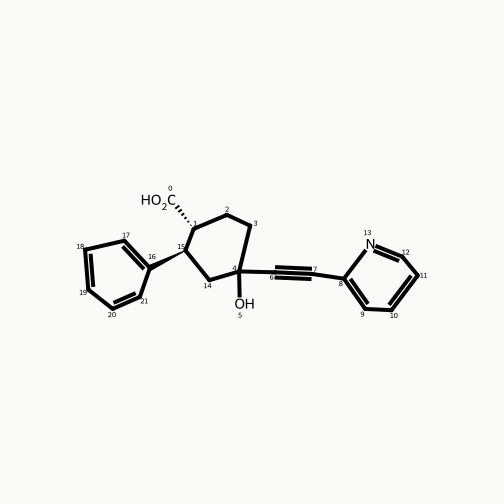 O=C(O)[C@@H]1CCC(O)(C#Cc2ccccn2)C[C@H]1c1ccccc1